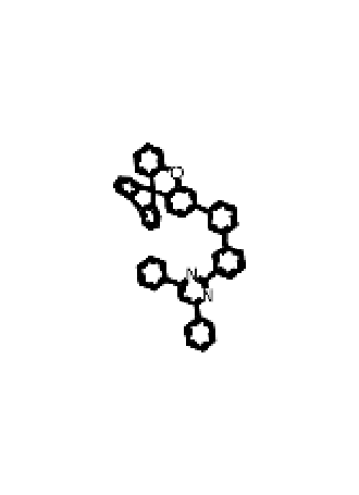 c1ccc(-c2cc(-c3ccccc3)nc(-c3cccc(-c4cccc(-c5ccc6c(c5)Oc5ccccc5C65c6ccccc6-c6ccccc65)c4)c3)n2)cc1